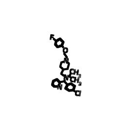 CC(C)N(CC1CCN(CCOc2ccc(F)cc2)CC1)C(c1ccc(Cl)cc1)c1ccccn1